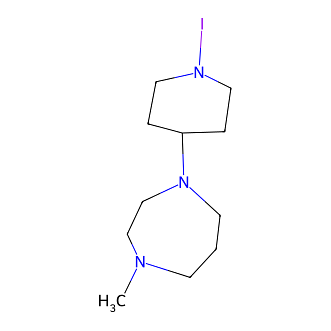 CN1CCCN(C2CCN(I)CC2)CC1